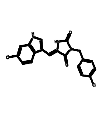 O=C1N/C(=C\c2c[nH]c3cc(Cl)ccc23)C(=O)N1Cc1ccc(Cl)cc1